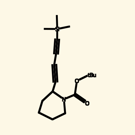 CC(C)(C)OC(=O)N1CCCCC1C#CC#C[Si](C)(C)C